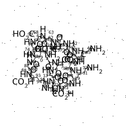 C[C@H](N)C(=O)N[C@@H](CC(=O)O)C(=O)N[C@@H](C)C(=O)N[C@@H](CC(=O)O)C(=O)N[C@@H](C)C(=O)N[C@@H](CCCCN)C(=O)N[C@@H](C)C(=O)N[C@@H](CCCCN)C(=O)N[C@@H](C)C(=O)N[C@@H](CC(=O)O)C(=O)N[C@@H](C)C(=O)N[C@@H](CC(=O)O)C(=O)N[C@@H](C)C(=O)N[C@@H](CCCCN)C(=O)N[C@@H](C)C(=O)N[C@@H](CCCCN)C(=O)O